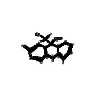 CC(F)(F)C1(C=O)c2cc(F)ccc2Nc2ncccc21